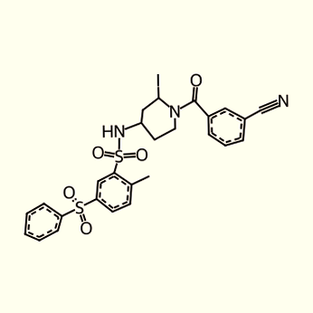 Cc1ccc(S(=O)(=O)c2ccccc2)cc1S(=O)(=O)NC1CCN(C(=O)c2cccc(C#N)c2)C(I)C1